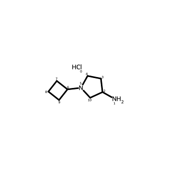 Cl.NC1CCN(C2CCC2)C1